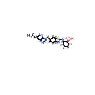 CCc1cnc2c(c1)ncn2Cc1ccc2nc(NC3CCCCC3O)sc2c1